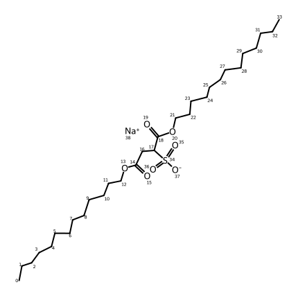 CCCCCCCCCCCCCOC(=O)CC(C(=O)OCCCCCCCCCCCCC)S(=O)(=O)[O-].[Na+]